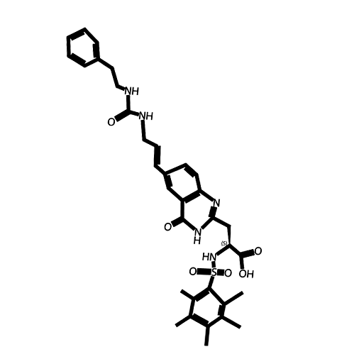 Cc1c(C)c(C)c(S(=O)(=O)N[C@@H](Cc2nc3ccc(C=CCNC(=O)NCCc4ccccc4)cc3c(=O)[nH]2)C(=O)O)c(C)c1C